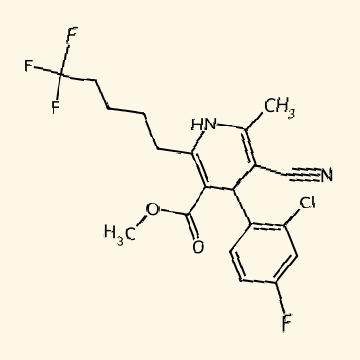 COC(=O)C1=C(CCCCC(F)(F)F)NC(C)=C(C#N)C1c1ccc(F)cc1Cl